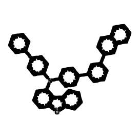 c1ccc(-c2ccc(N(c3ccc(-c4cccc(-c5ccc6ccccc6c5)c4)cc3)c3cccc4oc5ccccc5c34)cc2)cc1